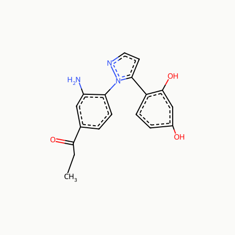 CCC(=O)c1ccc(-n2nccc2-c2ccc(O)cc2O)c(N)c1